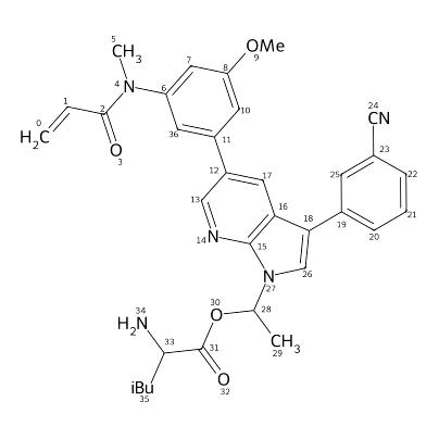 C=CC(=O)N(C)c1cc(OC)cc(-c2cnc3c(c2)c(-c2cccc(C#N)c2)cn3C(C)OC(=O)C(N)C(C)CC)c1